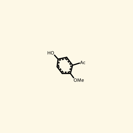 COc1ccc(O)cc1C(C)=O